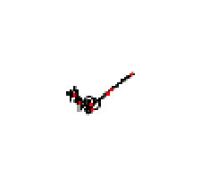 CCCCCCCCCCCCCCCCCCOC(=O)c1ccccc1N=Nc1ccc(N(CCC)CCC)cc1